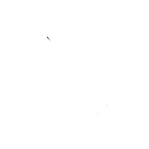 CCCC[C@]1(C#N)CC[C@H](OC[C@H]2CC[C@H](CCC)CC2)CC1